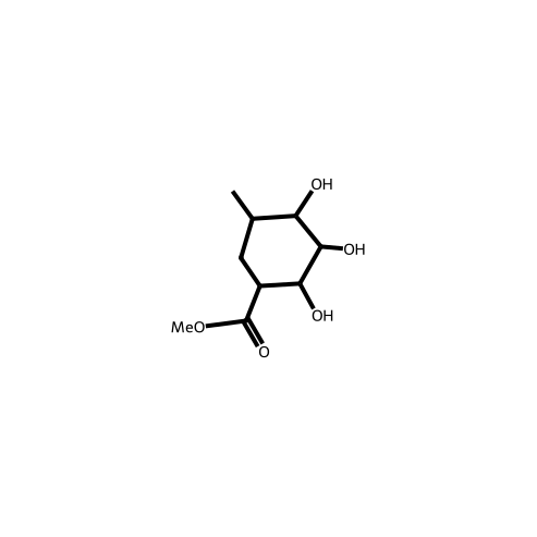 COC(=O)C1CC(C)C(O)C(O)C1O